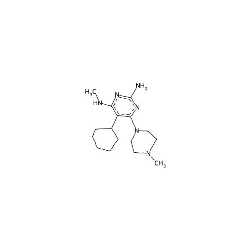 CNc1nc(N)nc(N2CCN(C)CC2)c1C1CCCCC1